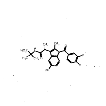 Cc1c([C@@H](C)C(=O)NC(C)(C)C(=O)O)c2cc(O)ccc2n1C(=O)c1ccc(F)c(F)c1